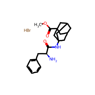 Br.COC(=O)C12CC3CC(CC(NC(=O)[C@@H](N)Cc4ccccc4)(C3)C1)C2